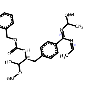 C/C=N\C(=N/C(C)OC)c1ccc(C[C@H](NC(=O)OCc2ccccc2)C(O)OC(C)(C)C)cc1